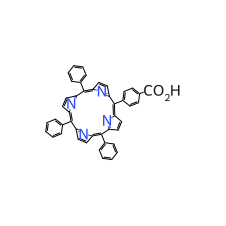 O=C(O)c1ccc(C2=C3C=CC(=N3)C(c3ccccc3)=C3C=CC(=N3)C(c3ccccc3)=C3C=CC(=N3)C(c3ccccc3)=C3C=CC2=N3)cc1